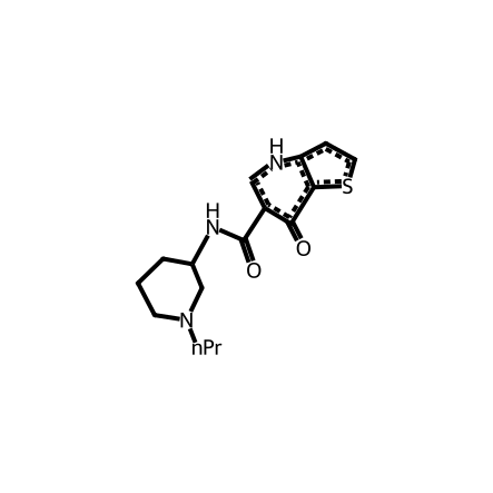 CCCN1CCCC(NC(=O)c2c[nH]c3ccsc3c2=O)C1